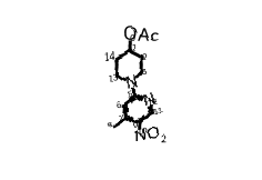 CC(=O)OC1CCN(c2cc(C)c([N+](=O)[O-])cn2)CC1